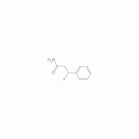 NC(=O)CC(F)c1ccccc1